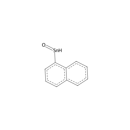 [O]=[SnH][c]1cccc2ccccc12